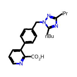 CCCCc1nc(C(C)C)nn1Cc1ccc(-c2cccnc2C(=O)O)cc1